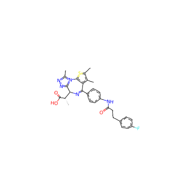 Cc1sc2c(c1C)C(c1ccc(NC(=O)CCc3ccc(F)cc3)cc1)=NC([C@H](C)C(=O)O)c1nnc(C)n1-2